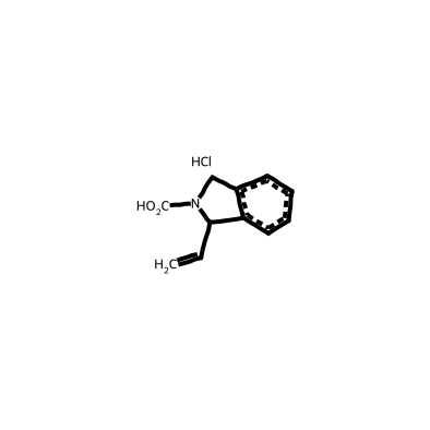 C=CC1c2ccccc2CN1C(=O)O.Cl